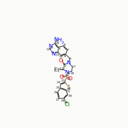 CCC1C(=O)N(Cc2ccc3c(N)ncnc3c2)CCN1S(=O)(=O)c1cc2ccc(Cl)cc2s1